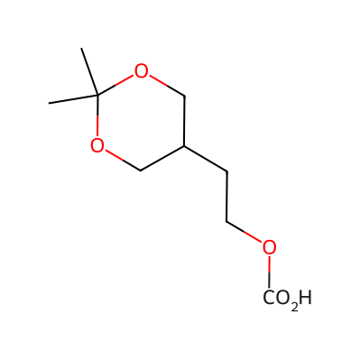 CC1(C)OCC(CCOC(=O)O)CO1